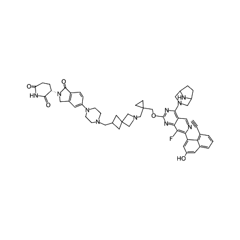 C#Cc1cccc2cc(O)cc(-c3ncc4c(N5CC6CCC(C5)N6)nc(OCC5(CN6CC7(CC(CN8CCN(c9ccc%10c(c9)CN([C@H]9CCC(=O)NC9=O)C%10=O)CC8)C7)C6)CC5)nc4c3F)c12